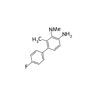 CNc1c(N)ccc(-c2ccc(F)cc2)c1C